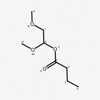 CCCC(=O)OC(COC)OC